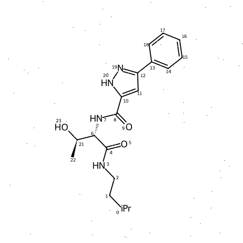 CC(C)CCNC(=O)[C@@H](NC(=O)c1cc(-c2ccccc2)n[nH]1)[C@@H](C)O